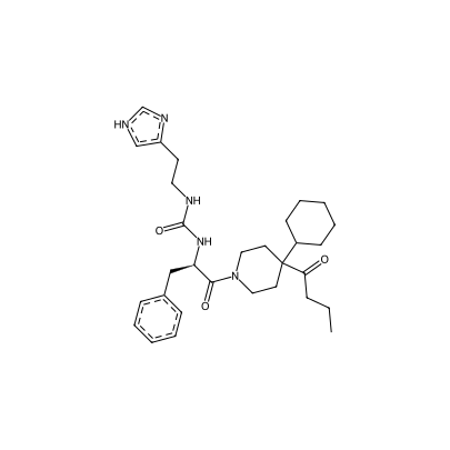 CCCC(=O)C1(C2CCCCC2)CCN(C(=O)[C@@H](Cc2ccccc2)NC(=O)NCCc2c[nH]cn2)CC1